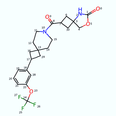 O=C1NC2(CO1)CC(C(=O)N1CCC3(CC1)CC(c1cccc(OC(F)(F)F)c1)C3)C2